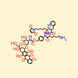 COc1cccc2c1C(=O)c1c(O)c3c(c(O)c1C2=O)C[C@@](O)(C(=O)CO)CC3O[C@H]1C[C@H](NC(=O)OCc2ccc(NC(=O)C(CCCCN)NC(=O)C(Cc3ccccc3)NC(=O)CCCCCN3C(=O)C=CC3=O)cc2)[C@H](O)[C@H](C)O1